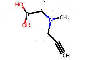 C#CCN(C)CB(O)O